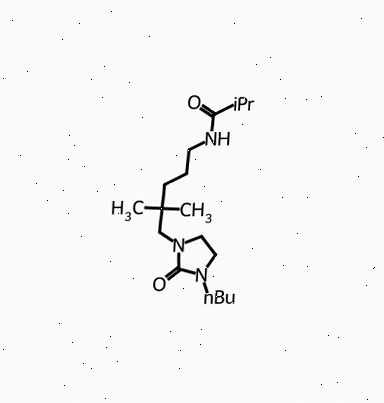 CCCCN1CCN(CC(C)(C)CCCNC(=O)C(C)C)C1=O